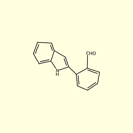 O=Cc1ccccc1-c1cc2ccccc2[nH]1